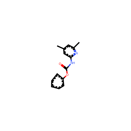 Cc1cc(C)nc(NC(=O)Oc2ccccc2)c1